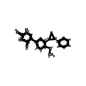 COc1nnc(-c2c[nH]c(=O)[nH]c2=O)cc1[C@H]1C[C@@H]1c1ccccc1